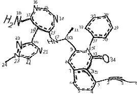 CC#Cc1cccc2cc([C@H](C)Nc3ncnc(N)c3-c3ncn(C)n3)n(-c3ccccc3)c(=O)c12